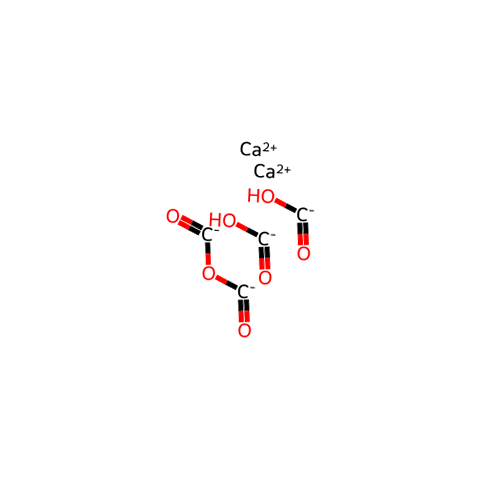 O=[C-]O.O=[C-]O.O=[C-]O[C-]=O.[Ca+2].[Ca+2]